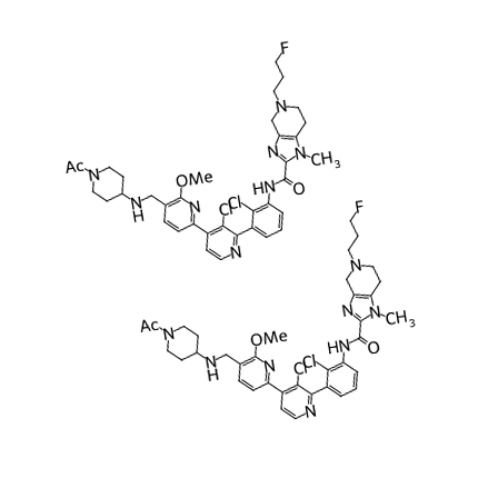 COc1nc(-c2ccnc(-c3cccc(NC(=O)c4nc5c(n4C)CCN(CCCF)C5)c3Cl)c2Cl)ccc1CNC1CCN(C(C)=O)CC1.COc1nc(-c2ccnc(-c3cccc(NC(=O)c4nc5c(n4C)CCN(CCCF)C5)c3Cl)c2Cl)ccc1CNC1CCN(C(C)=O)CC1